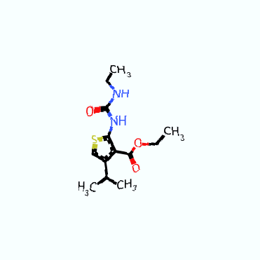 CCNC(=O)Nc1scc(C(C)C)c1C(=O)OCC